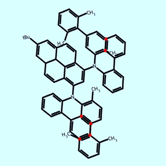 Cc1ccc(-c2c(C)cccc2C)cc1N(c1ccccc1-c1ccccc1)c1cc(N(c2cc(-c3c(C)cccc3C)ccc2C)c2ccccc2-c2ccccc2)c2c3c1C=CC1=CC(C(C)(C)C)=CC(C=C2)C13